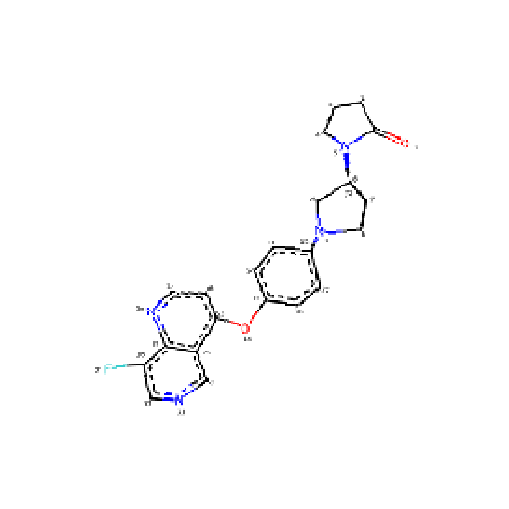 O=C1CCCN1[C@H]1CCN(c2ccc(Oc3ccnc4c(F)cncc34)cc2)C1